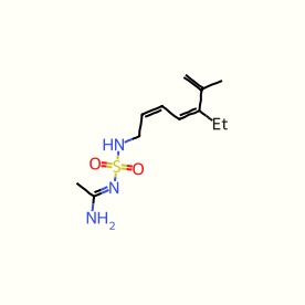 C=C(C)/C(=C\C=C/CNS(=O)(=O)/N=C(\C)N)CC